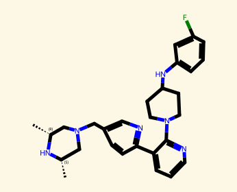 C[C@@H]1CN(Cc2ccc(-c3cccnc3N3CCC(Nc4cccc(F)c4)CC3)nc2)C[C@H](C)N1